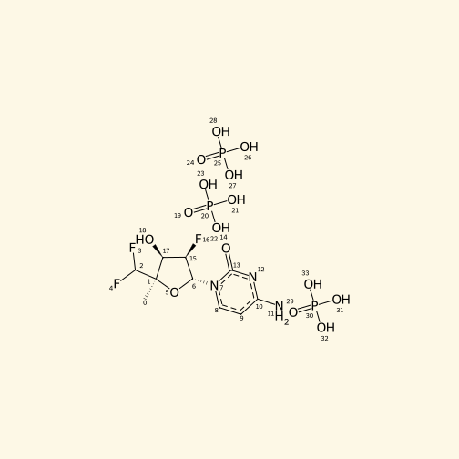 C[C@@]1(C(F)F)O[C@@H](n2ccc(N)nc2=O)[C@H](F)[C@@H]1O.O=P(O)(O)O.O=P(O)(O)O.O=P(O)(O)O